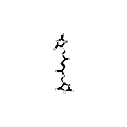 O=C1NC(=O)[C@@H](COC(=O)/C=C/C(=O)OC[C@H]2NC(=O)NC2=O)N1